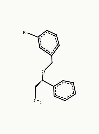 [CH2]C[C@@H](OCc1cccc(Br)c1)c1ccccc1